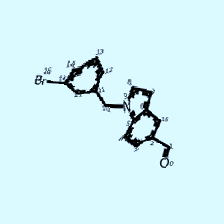 O=Cc1ccc2c(ccn2Cc2cccc(Br)c2)c1